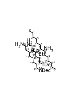 CCCCCCCCCCCCCC.CCCCCCCCCCCCCCCCCCN.CCCCCCCCCCCCCCCCN.CCN.N